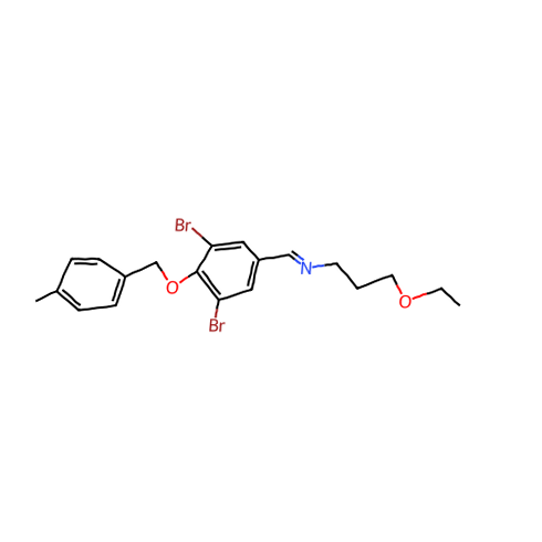 CCOCCCN=Cc1cc(Br)c(OCc2ccc(C)cc2)c(Br)c1